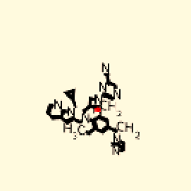 C=Nc1cc(C(=C)N2CC3C4C2N34)cc(CC)c1N(Cc1cc2cccnc2n1CC1CC1)CC1CN(c2cncc(C#N)n2)C1